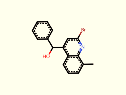 Cc1cccc2c(C(O)c3ccccc3)cc(Br)nc12